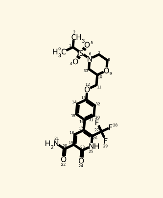 CC(C)S(=O)(=O)N1CCOC(COc2ccc(-c3cc(C(N)=O)c(=O)[nH]c3C(F)(F)F)cc2)C1